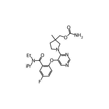 CCN(C(=O)c1cc(F)ccc1Oc1cncnc1N1CCC(C)(COC(N)=O)C1)C(C)C